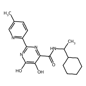 Cc1ccc(-c2nc(O)c(O)c(C(=O)NC(C)C3CCCCC3)n2)nc1